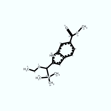 CCOC(c1cc2ccc(C(=O)OC)cc2[nH]1)[Si](C)(C)C